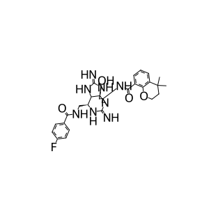 CC1(C)CCOc2c(C(=O)NC3CN4C(=N)N[C@@H](CNC(=O)c5ccc(F)cc5)C5NC(=N)NC54[C@@H]3O)cccc21